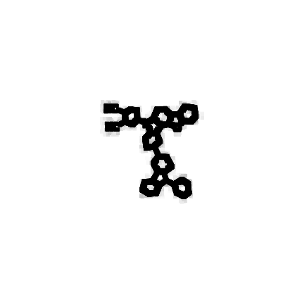 N#Cc1ccc(-n2c3ccc(-c4ccc5c(c4)-c4ccccc4C5c4ccccc4)cc3c3c4oc5ccccc5c4ccc32)cc1C#N